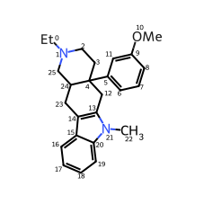 CCN1CCC2(c3cccc(OC)c3)Cc3c(c4ccccc4n3C)CC2C1